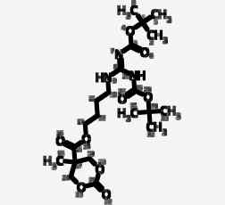 CC(C)(C)OC(=O)/N=C(/NCCCCOC(=O)C1(C)COC(=O)OC1)NC(=O)OC(C)(C)C